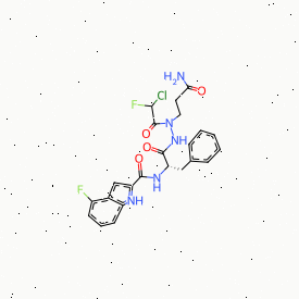 NC(=O)CCN(NC(=O)[C@H](Cc1ccccc1)NC(=O)c1cc2c(F)cccc2[nH]1)C(=O)C(F)Cl